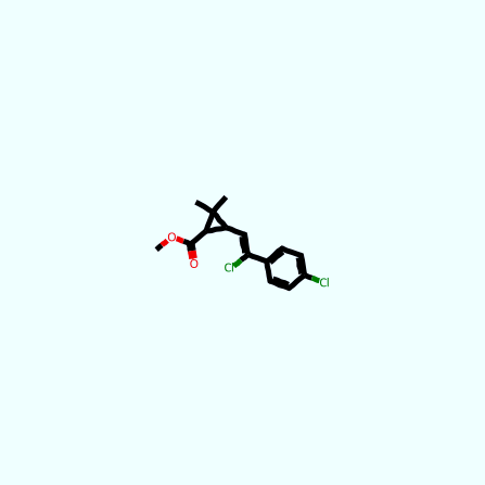 COC(=O)C1C(/C=C(\Cl)c2ccc(Cl)cc2)C1(C)C